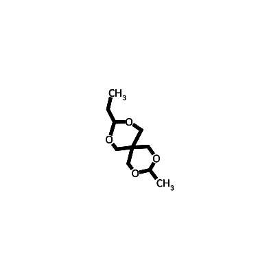 CCC1OCC2(COC(C)OC2)CO1